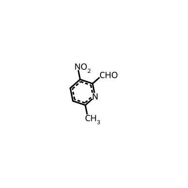 Cc1ccc([N+](=O)[O-])c(C=O)n1